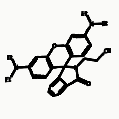 CCN(CC)c1ccc2c(c1)Oc1cc(N(CC)CC)ccc1C21c2ccccc2C(=O)N1CCC#N